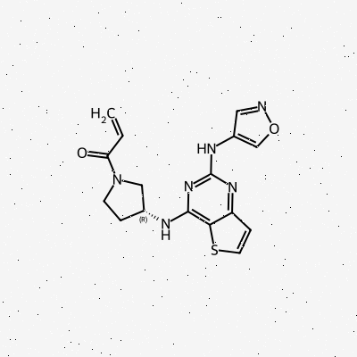 C=CC(=O)N1CC[C@@H](Nc2nc(Nc3cnoc3)nc3ccsc23)C1